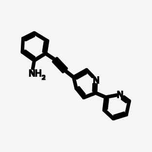 Nc1ccccc1C#Cc1ccc(-c2ccccn2)nc1